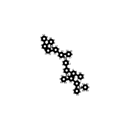 c1ccc(-c2ccc(-c3cc(-c4ccc(-n5c6ccccc6c6cc(-c7ccc8c(c7)c7ccccc7n8-c7ccccc7-c7ccccc7-c7ccccc7)ccc65)cc4)ccc3-n3c4ccccc4c4cc(-c5ccc6c(c5)c5ccccc5n6-c5ccccc5)ccc43)cc2)cc1